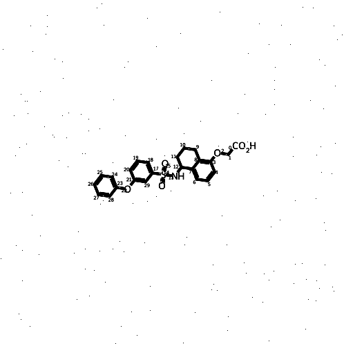 O=C(O)COc1cccc2c1CCCC2NS(=O)(=O)c1cccc(Oc2ccccc2)c1